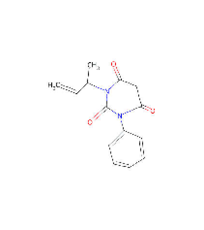 C=CC(C)N1C(=O)CC(=O)N(c2ccccc2)C1=O